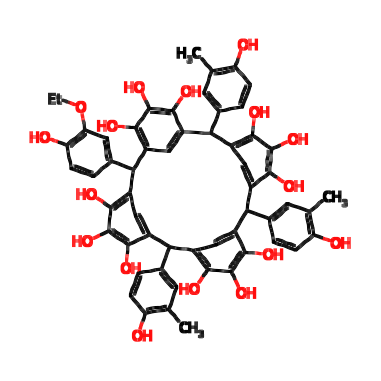 CCOc1cc(C2c3cc(c(O)c(O)c3O)C(c3ccc(O)c(C)c3)c3cc(c(O)c(O)c3O)C(c3ccc(O)c(C)c3)c3cc(c(O)c(O)c3O)C(c3ccc(O)c(C)c3)c3cc2c(O)c(O)c3O)ccc1O